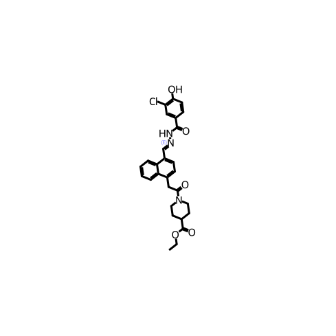 CCOC(=O)C1CCN(C(=O)Cc2ccc(/C=N/NC(=O)c3ccc(O)c(Cl)c3)c3ccccc23)CC1